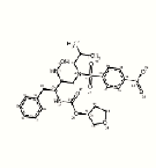 CC(C)CN(CC(NO)[C@H](Cc1ccccc1)NC(=O)O[C@H]1CCOC1)S(=O)(=O)c1ccc([N+](=O)[O-])cc1